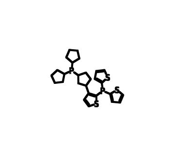 c1csc(P(c2cccs2)c2sccc2C2CCC(P(C3CCCC3)C3CCCC3)C2)c1